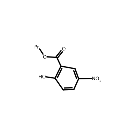 CC(C)OC(=O)c1cc([N+](=O)[O-])ccc1O